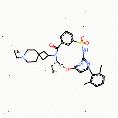 Cc1cccc(C)c1-c1cc2nc(n1)NS(=O)(=O)c1cccc(c1)C(=O)N(C1CC3(CCN(CC(C)(C)C)CC3)C1)[C@H](CC(C)C)CO2